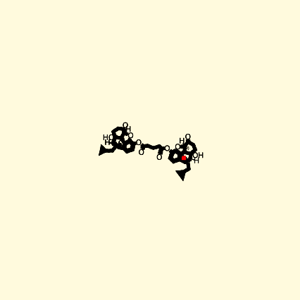 O=C(CCCC(=O)Oc1ccc2c3c1O[C@H]1C(=O)CC[C@@]4(O)[C@@H](C2)N(CC2CC2)CC[C@]314)Oc1ccc2c3c1O[C@H]1C(=O)CC[C@@]4(O)[C@@H](C2)N(CC2CC2)CC[C@]314